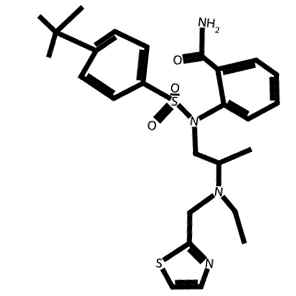 CCN(Cc1nccs1)C(C)CN(c1ccccc1C(N)=O)S(=O)(=O)c1ccc(C(C)(C)C)cc1